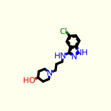 OC1CCN(CCCNc2n[nH]c3ccc(Cl)cc23)CC1